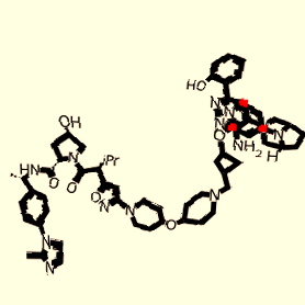 Cc1nccn1-c1ccc([C@H](C)NC(=O)[C@@H]2C[C@@H](O)CN2C(=O)[C@H](c2cc(N3CCC(OC4CCN(CC5CC(Oc6cc(N7C8CC[C@@H]7CN(c7cc(-c9ccccc9O)nnc7N)C8)ccn6)C5)CC4)CC3)no2)C(C)C)cc1